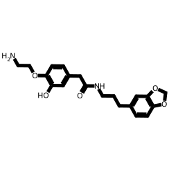 NCCOc1ccc(CC(=O)NCCCc2ccc3c(c2)OCO3)cc1O